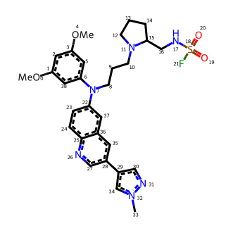 COc1cc(OC)cc(N(CCCN2CCCC2CNS(=O)(=O)F)c2ccc3ncc(-c4cnn(C)c4)cc3c2)c1